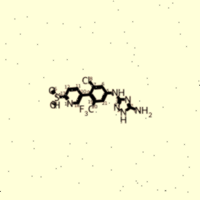 Nc1nc(Nc2cc(Cl)c(-c3ccc([SH](=O)=O)nc3)c(C(F)(F)F)c2)n[nH]1